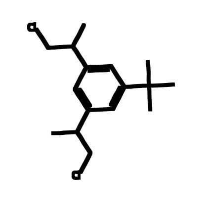 CC(CCl)c1cc(C(C)CCl)cc(C(C)(C)C)c1